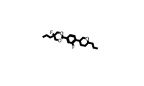 CCCC1CCC(c2ccc(C3OCC(F)(CCC)CO3)cc2F)CO1